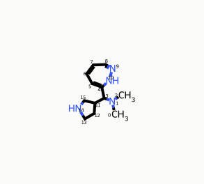 CN(C)C(C1=CC=CC=NN1)C1CCNC1